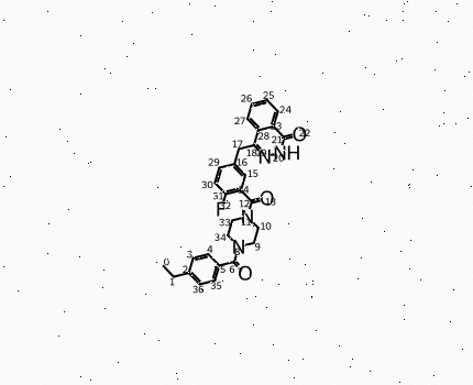 CCc1ccc(C(=O)N2CCN(C(=O)c3cc(Cc4n[nH]c(=O)c5ccccc45)ccc3F)CC2)cc1